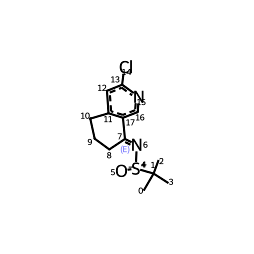 CC(C)(C)[S+]([O-])/N=C1\CCCc2cc(Cl)ncc21